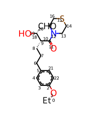 CCOc1ccc(CCC[C@@H](C(=O)N2CCSCC2)[C@H](O)C=O)cc1